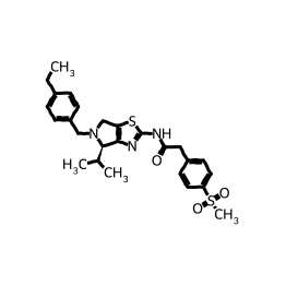 CCc1ccc(CN2Cc3sc(NC(=O)Cc4ccc(S(C)(=O)=O)cc4)nc3[C@H]2C(C)C)cc1